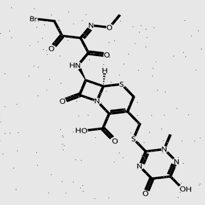 CO/N=C(/C(=O)CBr)C(=O)N[C@@H]1C(=O)N2C(C(=O)O)=C(CSc3nc(=O)c(O)nn3C)CS[C@H]12